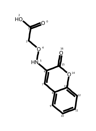 O=C(O)CONc1cc2ccccc2oc1=O